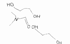 CN(C)C=O.OCCO.OCCO